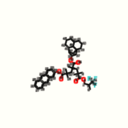 CC(COC(=O)C(C)(C)CC(C)(CC(C)(C)C(=O)Oc1ccc2cc3ccccc3cc2c1)C(=O)OC1CC23CCCC4CCCC(C1C2)C43)C(F)(F)F